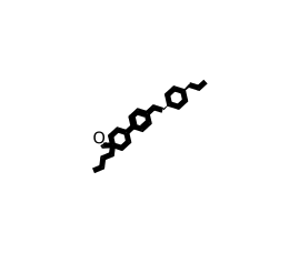 CCCCC1(C=O)CCC(c2ccc(CC[C@H]3CC[C@H](CCC)CC3)cc2)CC1